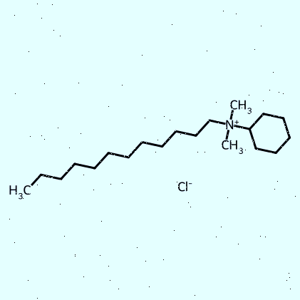 CCCCCCCCCCCC[N+](C)(C)C1CCCCC1.[Cl-]